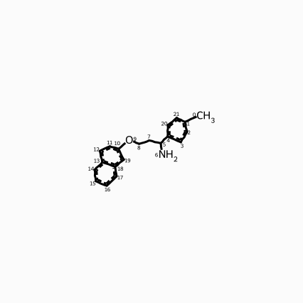 Cc1ccc(C(N)CCOc2ccc3ccccc3c2)cc1